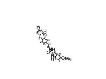 COc1ccc2[nH]c(C(=O)NCCc3ccc(C[C@H]4SC(=O)NC4=O)cc3)cc2c1